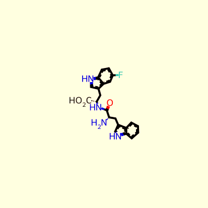 N[C@@H](Cc1c[nH]c2ccccc12)C(=O)N[C@@H](Cc1c[nH]c2ccc(F)cc12)C(=O)O